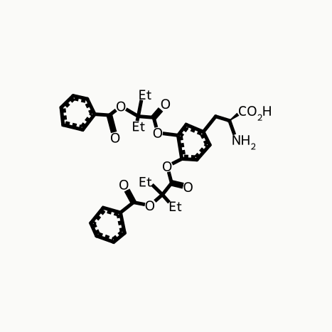 CCC(CC)(OC(=O)c1ccccc1)C(=O)Oc1ccc(C[C@H](N)C(=O)O)cc1OC(=O)C(CC)(CC)OC(=O)c1ccccc1